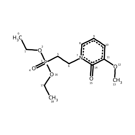 CCOP(=O)(CCn1cccc(OC)c1=O)OCC